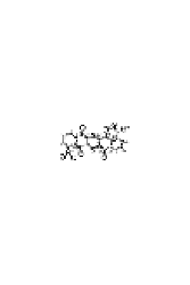 O=c1c2cccc([N+](=O)[O-])c2c(=O)c2sc3c(=O)c4cccc([N+](=O)[O-])c4c(=O)c3sc12